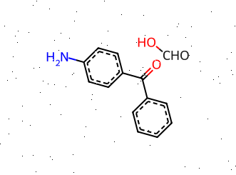 Nc1ccc(C(=O)c2ccccc2)cc1.O=CO